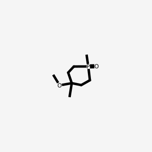 COC1(C)CCP(C)(=O)CC1